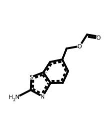 Nc1nc2ccc(COC=O)cc2s1